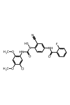 COc1cc(OC)c(NC(=O)N(S)c2ccc(NC(=O)c3ccccc3F)cc2C#N)cc1Cl